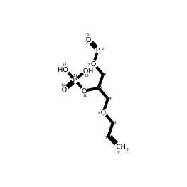 C=CCOCC(COP=O)OP(=O)(O)O